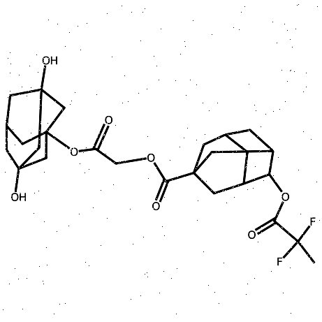 CC(F)(F)C(=O)OC1C2CC3CC1CC(C(=O)OCC(=O)OC14CC5CC(O)(CC(O)(C5)C1)C4)(C3)C2